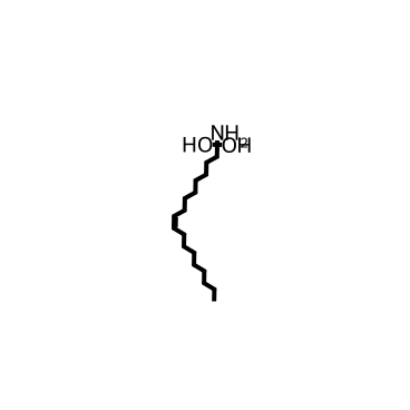 CCCCCCCC/C=C\CCCCCCCC(N)(O)O